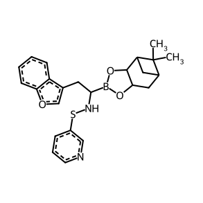 CC1(C)C2CC3OB(C(Cc4coc5ccccc45)NSc4cccnc4)OC3C1C2